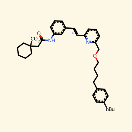 CCCCc1ccc(CCCCOCc2cccc(/C=C/c3cccc(NC(=O)CC4(C(=O)O)CCCCC4)c3)n2)cc1